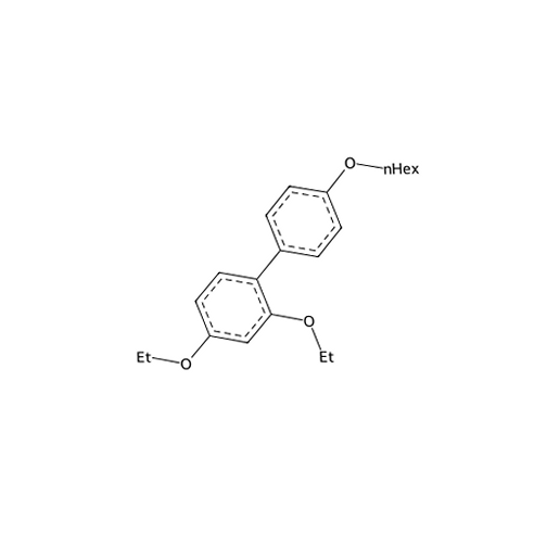 CCCCCCOc1ccc(-c2ccc(OCC)cc2OCC)cc1